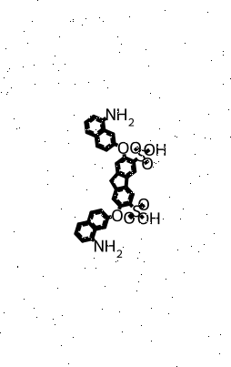 Nc1cccc2ccc(Oc3cc4c(cc3S(=O)(=O)O)-c3cc(S(=O)(=O)O)c(Oc5ccc6cccc(N)c6c5)cc3C4)cc12